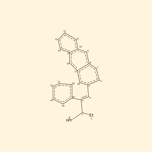 CCCC(CC)C(=Cc1ccc2cc3ccccc3cc2c1)c1ccccc1